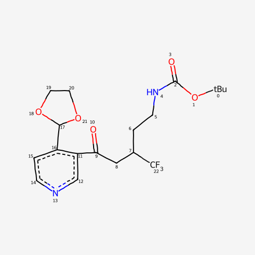 CC(C)(C)OC(=O)NCCC(CC(=O)c1cnccc1C1OCCO1)C(F)(F)F